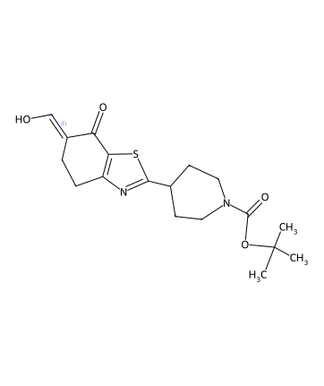 CC(C)(C)OC(=O)N1CCC(c2nc3c(s2)C(=O)/C(=C/O)CC3)CC1